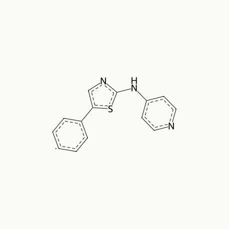 [c]1ccc(-c2cnc(Nc3ccncc3)s2)cc1